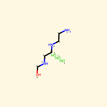 Cl.Cl.Cl.NCCNCCNCO